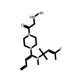 C=C/C=C(/N1CCN(C(=O)CNCCC)CC1)N(C)C(C)(C)/C=C(\C)F